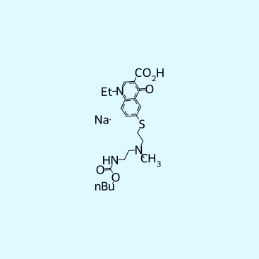 CCCCOC(=O)NCCN(C)CCSc1ccc2c(c1)c(=O)c(C(=O)O)cn2CC.[Na]